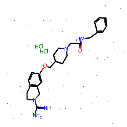 Cl.Cl.N=C(N)N1CCc2ccc(OCC3CCN(CC(=O)NCc4ccccc4)CC3)cc2C1